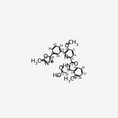 COc1ccc(C(=O)N[C@@H](CC(=O)O)c2ccccc2C)nc1-c1cccc(-c2nnc(C)o2)c1